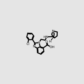 O=C(O)c1cccc2nc(-c3ccccc3Cl)n(CCN[C@@H]3CN4CCC3CC4)c12